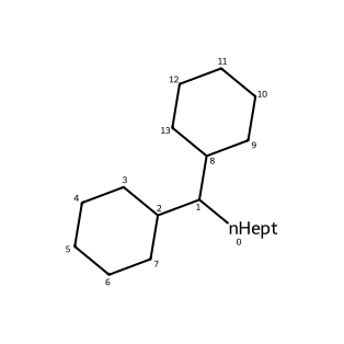 CCCCCCCC(C1CCCCC1)C1CCCCC1